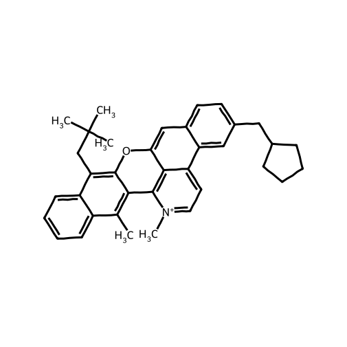 Cc1c2c(c(CC(C)(C)C)c3ccccc13)Oc1cc3ccc(CC4CCCC4)cc3c3cc[n+](C)c-2c13